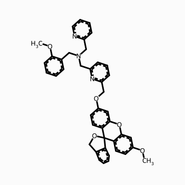 COc1ccc2c(c1)Oc1cc(OCc3cccc(CN(Cc4ccccn4)Cc4ccccc4OC)n3)ccc1C21OCc2ccccc21